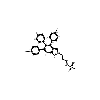 CS(=O)(=O)OCCCn1cc2c(-c3ccc(F)cc3)c(-c3ccncc3)c(-c3ccc(F)cc3)nc2n1